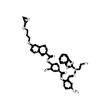 Cc1ccc(OC(=O)c2ccc(OC(=O)c3ccc4cc(OCCCOC5CO5)ccc4c3)c(C)c2)c(/C=N/N(CCC(C)C)c2nc3ccccc3s2)c1